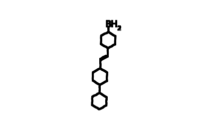 BC1CCC(C=CC2CCC(C3CCCCC3)CC2)CC1